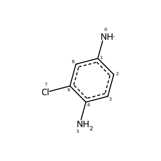 [NH]c1ccc(N)c(Cl)c1